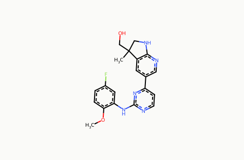 COc1ccc(F)cc1Nc1nccc(-c2cnc3c(c2)C(C)(CO)CN3)n1